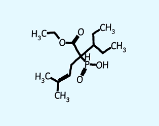 CCOC(=O)C(CC=C(C)C)(C(CC)CC)[PH](=O)O